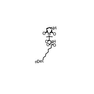 CCCCCCCCCCCCCCCCS(=O)(=O)NC(=O)C(C)(C)n1c(=O)cc[nH]c1=O